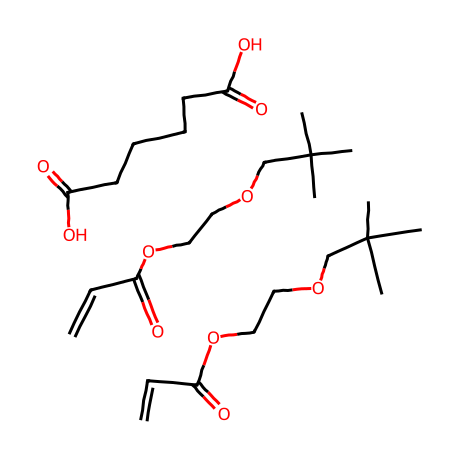 C=CC(=O)OCCOCC(C)(C)C.C=CC(=O)OCCOCC(C)(C)C.O=C(O)CCCCC(=O)O